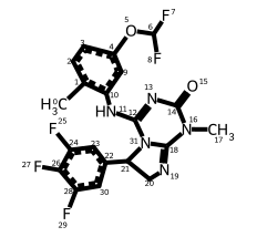 Cc1ccc(OC(F)F)cc1NC1=NC(=O)N(C)C2=NCC(c3cc(F)c(F)c(F)c3)N12